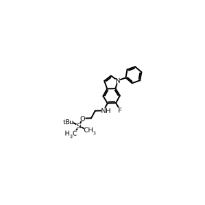 CC(C)(C)[Si](C)(C)OCCNc1cc2ccn(-c3ccccc3)c2cc1F